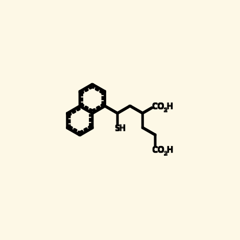 O=C(O)CCC(CC(S)c1cccc2ccccc12)C(=O)O